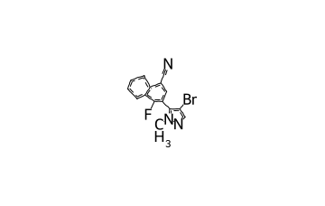 Cn1ncc(Br)c1-c1cc(C#N)c2ccccc2c1F